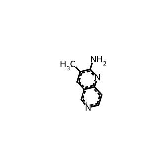 Cc1cc2cnccc2nc1N